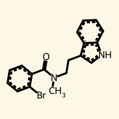 CN(CCc1c[nH]c2ccccc12)C(=O)c1ccccc1Br